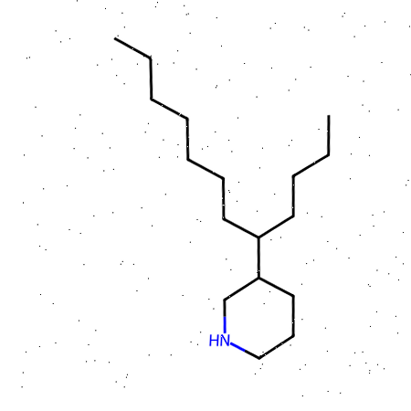 CCCCCCCC(CCCC)C1CCCNC1